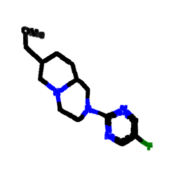 COCC1CCC2CN(c3ncc(F)cn3)CCN2C1